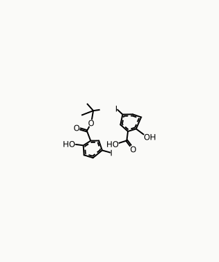 CC(C)(C)OC(=O)c1cc(I)ccc1O.O=C(O)c1cc(I)ccc1O